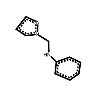 c1ccc(NCn2cccn2)cc1